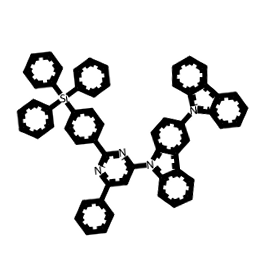 c1ccc(-c2cc(-n3c4ccccc4c4cc(-n5c6ccccc6c6ccccc65)ccc43)nc(-c3ccc([Si](c4ccccc4)(c4ccccc4)c4ccccc4)cc3)n2)cc1